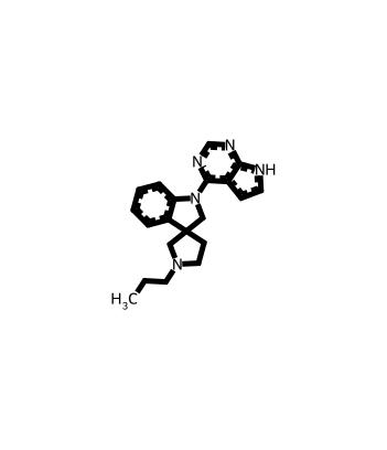 CCCN1CCC2(C1)CN(c1ncnc3[nH]ccc13)c1ccccc12